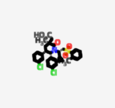 Cc1ccccc1S(=O)(=O)C[C@H](C1CC1)N1C(=O)[C@@](C)(CC(=O)O)C[C@H](c2cccc(Cl)c2)[C@H]1c1ccc(Cl)cc1